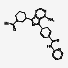 CC[C@H](C)C(=O)N1CCCC(c2nc(C3C=CC(C(=O)Nc4ccccn4)=CC3)c3c(N)nccn23)C1